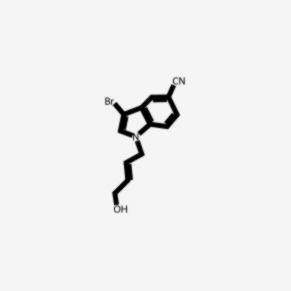 N#Cc1ccc2c(c1)c(Br)cn2CC=CCO